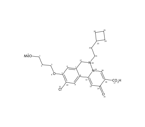 COCCCOc1cc2c(cc1Cl)-c1cc(=O)c(C(=O)O)cn1N(CCC1CCC1)C2